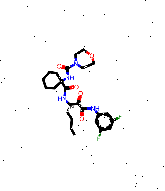 CCCC[C@H](NC(=O)C1(NC(=O)N2CCOCC2)CCCCC1)C(=O)C(=O)Nc1cc(F)cc(F)c1